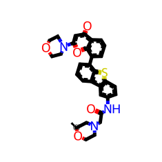 C[C@H]1CN(CC(=O)Nc2ccc3sc4c(-c5cccc6c(=O)cc(N7CCOCC7)oc56)cccc4c3c2)CCO1